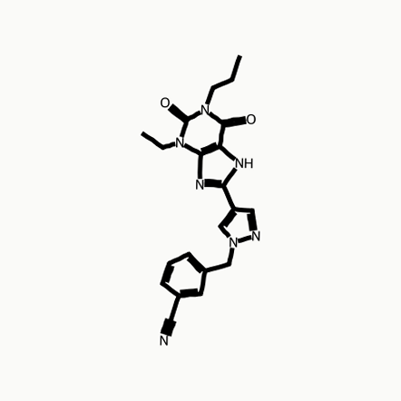 CCCn1c(=O)c2[nH]c(-c3cnn(Cc4cccc(C#N)c4)c3)nc2n(CC)c1=O